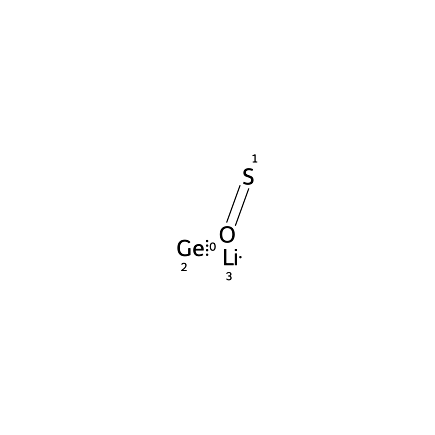 O=S.[Ge].[Li]